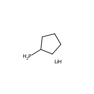 PC1CCCC1.[LiH]